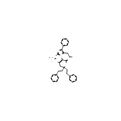 CCCc1c(-c2ccccc2)nc(S(=O)(=O)NC)n1C1=C(O)CC(CCc2ccccc2)(CCc2ccccc2)OC1=O